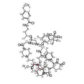 CCc1ccc(C(=O)NCCCC[C@H](NC(=O)[C@H](Cc2ccc(C(F)(F)P(=O)(O)O)cc2)NC(=O)[C@H](Cc2ccccc2)NC(=O)CO[C@H]2C[C@@H](C)CC[C@@H]2C(C)C)C(=O)N2CCN(CCC(=O)Nc3cccc4c3CN(C3CCC(=O)NC3=O)C4=O)CC2)cc1